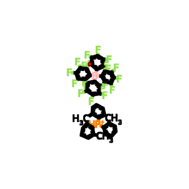 Cc1ccccc1[PH+](c1ccccc1C)c1ccccc1C.Fc1c(F)c(F)c([B-](c2c(F)c(F)c(F)c(F)c2F)(c2c(F)c(F)c(F)c(F)c2F)c2c(F)c(F)c(F)c(F)c2F)c(F)c1F